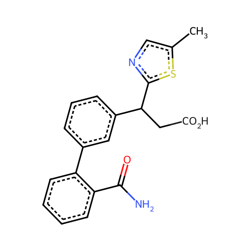 Cc1cnc(C(CC(=O)O)c2cccc(-c3ccccc3C(N)=O)c2)s1